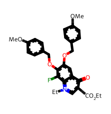 CCOC(=O)c1cn(CC)c2c(F)c(OCc3ccc(OC)cc3)c(OCc3ccc(OC)cc3)cc2c1=O